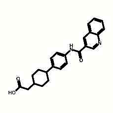 O=C(O)CC1CCC(c2ccc(NC(=O)c3cnc4ccccc4c3)cc2)CC1